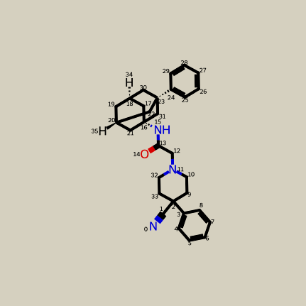 N#CC1(c2ccccc2)CCN(CC(=O)N[C@@]23C[C@H]4C[C@@H](C2)C[C@@](c2ccccc2)(C4)C3)CC1